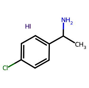 CC(N)c1ccc(Cl)cc1.I